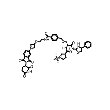 CS(=O)(=O)N1CCC(C(=O)N[C@@H](COCc2ccc(C(=O)NCCOC3CN(c4ccc5c(c4)C(=O)N(C4CCC(=O)NC4=O)C5=O)C3)cc2)C(=O)NC2NC(c3ccccc3)CS2)C1